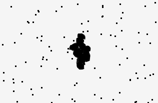 c1ccc(-c2ccc3c(c2)c2cc(-c4cccc5c4[nH]c4c(-c6cc(-c7ccccc7)nc(-c7ccccc7)n6)cccc45)ccc2n3-c2ccccc2)cc1